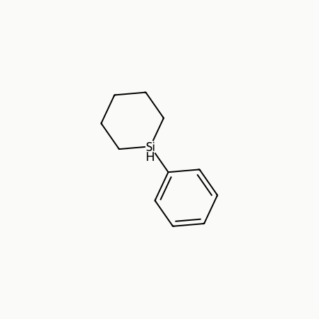 c1ccc([SiH]2CCCCC2)cc1